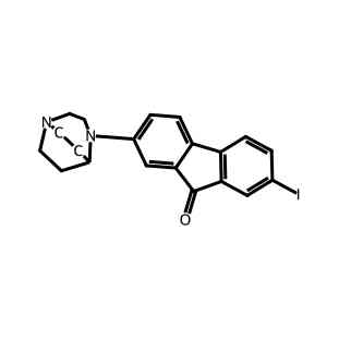 O=C1c2cc(I)ccc2-c2ccc(N3CCN4CCC3CC4)cc21